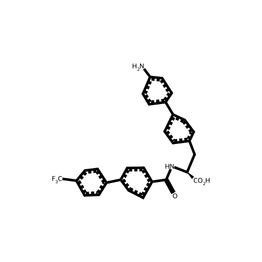 Nc1ccc(-c2ccc(C[C@H](NC(=O)c3ccc(-c4ccc(C(F)(F)F)cc4)cc3)C(=O)O)cc2)cc1